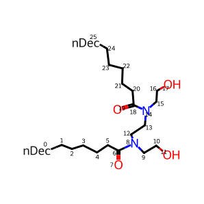 CCCCCCCCCCCCCCCC(=O)N(CCO)CCN(CCO)C(=O)CCCCCCCCCCCCCCC